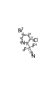 N#CC(F)(F)c1ncc(Br)cc1Cl